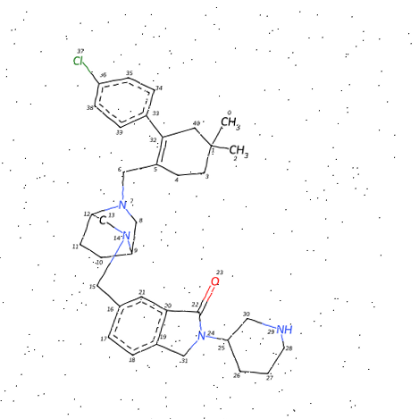 CC1(C)CCC(CN2CC3CCC2CN3Cc2ccc3c(c2)C(=O)N(C2CCCNC2)C3)=C(c2ccc(Cl)cc2)C1